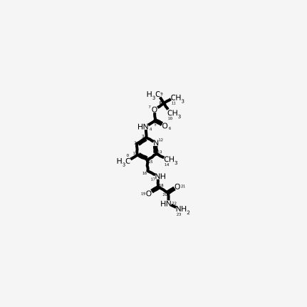 Cc1cc(NC(=O)OC(C)(C)C)nc(C)c1CNC(=O)C(=O)NN